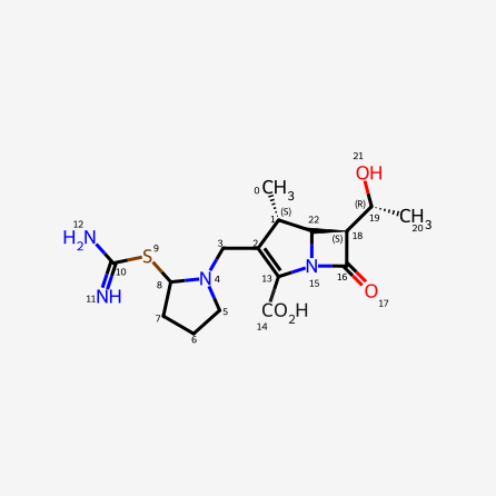 C[C@H]1C(CN2CCCC2SC(=N)N)=C(C(=O)O)N2C(=O)[C@H]([C@@H](C)O)C12